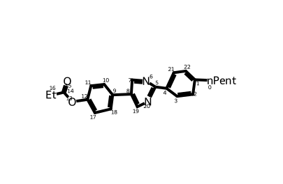 CCCCCc1ccc(-c2ncc(-c3ccc(OC(=O)CC)cc3)cn2)cc1